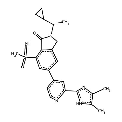 Cc1nc(-c2cc(-c3cc4c(c(S(C)(=N)=O)c3)C(=O)N([C@@H](C)C3CC3)C4)ccn2)[nH]c1C